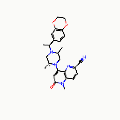 CC1CN(c2cc(=O)n(C)c3ccc(C#N)nc23)[C@@H](C)CN1C(C)c1ccc2c(c1)OCCO2